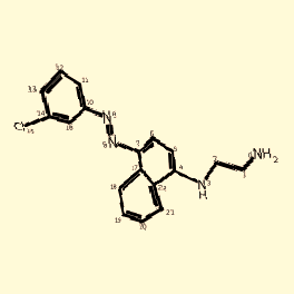 NCCNc1ccc(N=Nc2cccc(Cl)c2)c2ccccc12